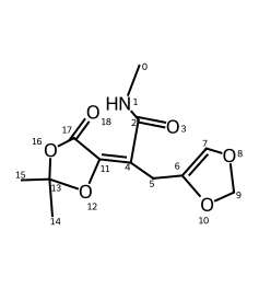 CNC(=O)C(CC1=COCO1)=C1OC(C)(C)OC1=O